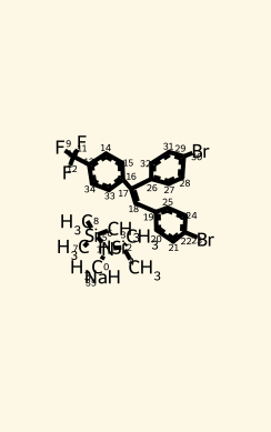 CN([SiH](C)C)[Si](C)(C)C.FC(F)(F)c1ccc(C(=Cc2ccc(Br)cc2)c2ccc(Br)cc2)cc1.[NaH]